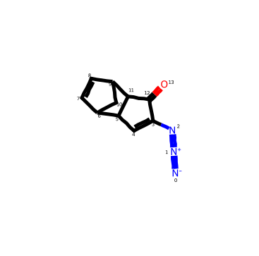 [N-]=[N+]=NC1=CC2C3C=CC(C3)C2C1=O